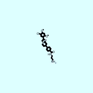 COc1cc(OC)c(-c2cn3ccc(-c4ccc(C(=O)NCCCN)cc4)cc3n2)cc1Cl